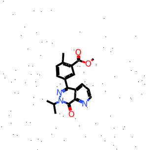 COC(=O)c1cc(-c2nn(C(C)C)c(=O)c3ncccc23)ccc1C